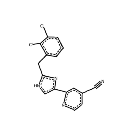 N#Cc1ccnc(-c2c[nH]c(Cc3cccc(Cl)c3Cl)n2)c1